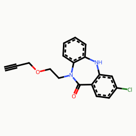 C#CCOCCN1C(=O)c2ccc(Cl)cc2Nc2ccccc21